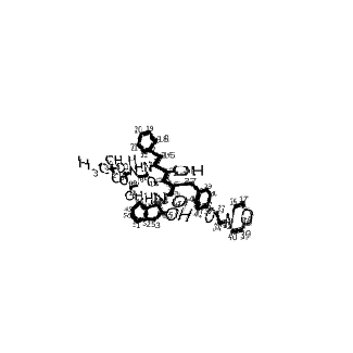 CC(C)(C)OC(=O)N[C@@H](CCO)C(=O)NC(Cc1ccccc1)C(O)CC(Cc1ccc(OCCN2CCOCC2)cc1)C(=O)NC1c2ccccc2CC1O